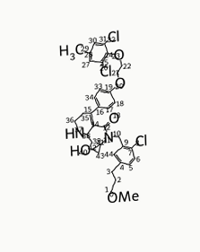 COCCCc1ccc(Cl)c(CN(C(=O)C2=C(c3ccc(OCCOc4c(Cl)cc(C)cc4Cl)cc3)CCNC2CO)C2CC2)c1